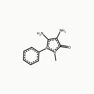 Cn1c(=O)c(N)c(N)n1-c1ccccc1